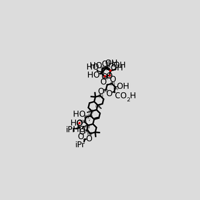 CC(C)C(=O)O[C@H]1[C@H](OC(=O)C(C)C)[C@@]2(CO)C(CC1(C)C)C1=CCC3[C@@]4(C)CC[C@H](O[C@@H]5OC(C(=O)O)[C@@H](O)[C@@H](O[C@@H]6O[C@@H](CO)[C@@H](O)C6O)C5O[C@@H]5OC(CO)[C@H](O)[C@@H](O)C5O)C(C)(C)C4CC[C@@]3(C)[C@]1(C)[C@@H](O)[C@H]2O